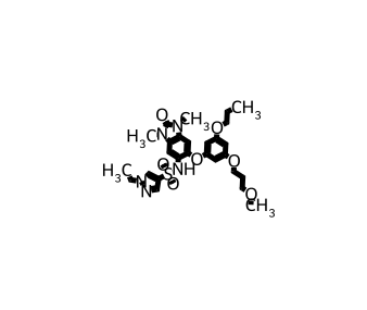 CCCOc1cc(OCCCOC)cc(Oc2cc3c(cc2NS(=O)(=O)c2cnn(CC)c2)n(C)c(=O)n3C)c1